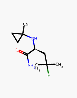 CC(C)(F)C[C@H](NC1(C#N)CC1)C(N)=O